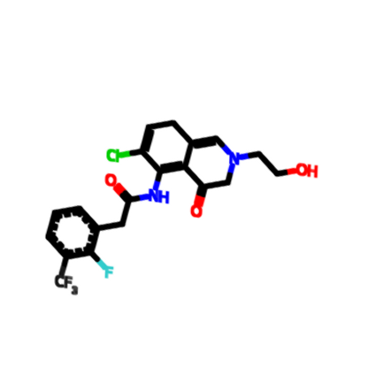 O=C(Cc1cccc(C(F)(F)F)c1F)NC1=C2C(=O)CN(CCO)C=C2CC=C1Cl